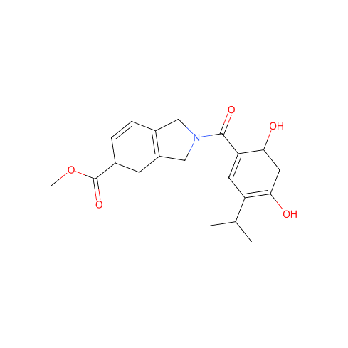 COC(=O)C1C=CC2=C(C1)CN(C(=O)C1=CC(C(C)C)=C(O)CC1O)C2